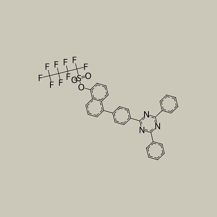 O=S(=O)(Oc1cccc2c(-c3ccc(-c4nc(-c5ccccc5)nc(-c5ccccc5)n4)cc3)cccc12)C(F)(F)C(F)(F)C(F)(F)C(F)(F)F